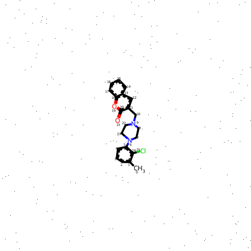 Cc1cccc(N2CCN(Cc3cc4ccccc4oc3=O)CC2)c1Cl